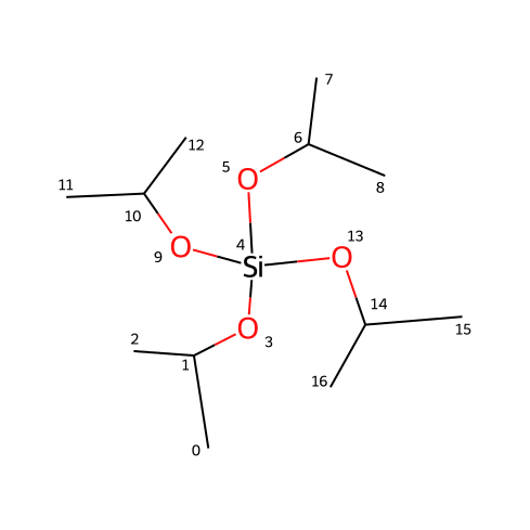 CC(C)O[Si](OC(C)C)(OC(C)C)OC(C)C